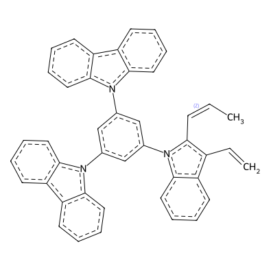 C=Cc1c(/C=C\C)n(-c2cc(-n3c4ccccc4c4ccccc43)cc(-n3c4ccccc4c4ccccc43)c2)c2ccccc12